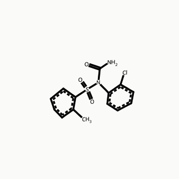 Cc1ccccc1S(=O)(=O)N(C(N)=O)c1ccccc1Cl